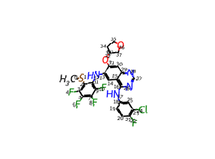 CSc1c(F)c(F)c(F)c(F)c1Nc1cc2c(Nc3ccc(F)c(Cl)c3)ncnc2cc1O[C@H]1CCOC1